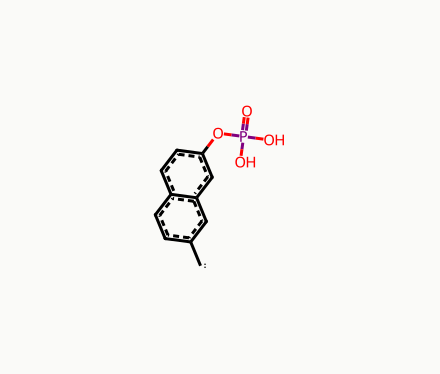 [CH]c1ccc2ccc(OP(=O)(O)O)cc2c1